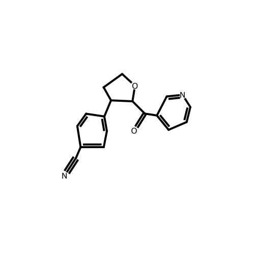 N#Cc1ccc(C2CCOC2C(=O)c2cccnc2)cc1